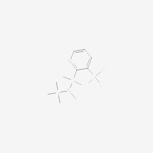 CN([Si](C)(C)C)[Si](C)(C)c1ncccc1[Si](Cl)(Cl)Cl